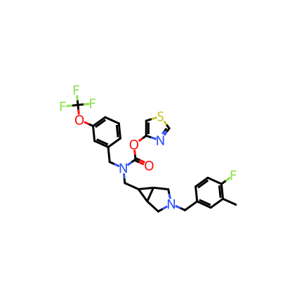 Cc1cc(CN2CC3C(C2)C3CN(Cc2cccc(OC(F)(F)F)c2)C(=O)Oc2cscn2)ccc1F